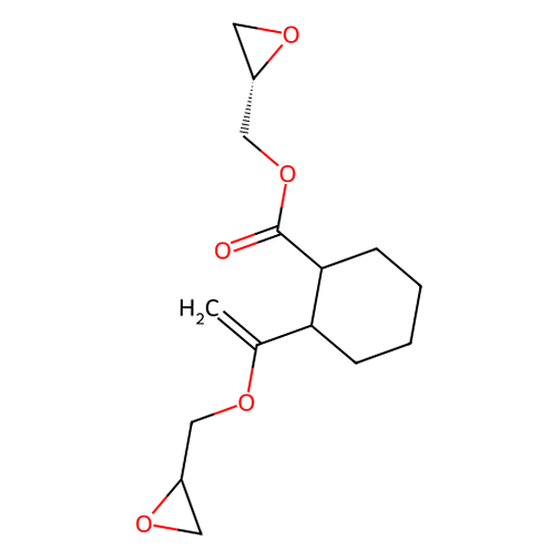 C=C(OCC1CO1)C1CCCCC1C(=O)OC[C@@H]1CO1